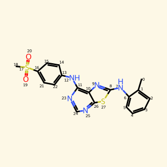 Cc1ccccc1Nc1nc2c(Nc3ccc(S(C)(=O)=O)cc3)ncnc2s1